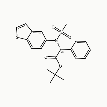 CC(C)(C)OC(=O)[C@@H](c1ccccc1)N(c1ccc2sccc2c1)S(C)(=O)=O